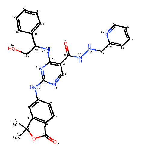 CC1(C)OC(=O)c2ccc(Nc3ncc(C(=O)NNCc4ccccn4)c(NC(CO)c4ccccc4)n3)cc21